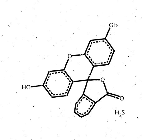 O=C1OC2(c3ccc(O)cc3Oc3cc(O)ccc32)c2ccccc21.S